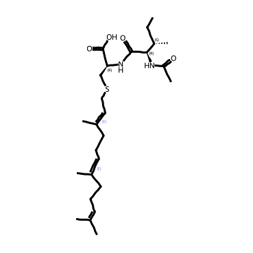 CC[C@H](C)[C@@H](NC(C)=O)C(=O)N[C@@H](CSC/C=C(\C)CC/C=C(\C)CCC=C(C)C)C(=O)O